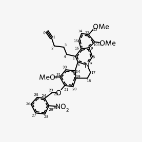 C#CCCCc1c2[n+](cc3c(OC)c(OC)ccc13)CCc1cc(OCc3ccccc3[N+](=O)[O-])c(OC)cc1-2